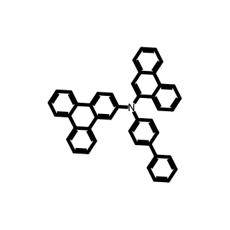 c1ccc(-c2ccc(N(c3ccc4c5ccccc5c5ccccc5c4c3)c3cc4ccccc4c4ccccc34)cc2)cc1